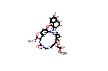 COC(=O)[C@@H]1CC(=O)N(C)CC/C=C/[C@H](OCC(=O)OC(C)(C)C)[C@@H]2CC[C@H]2CN2C[C@@]3(CCCc4cc(Cl)ccc43)COc3ccc1cc32